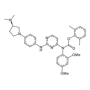 COc1ccc(N(C(=O)Oc2c(C)cccc2C)c2ccnc(Nc3ccc(N4CC[C@@H](N(C)C)C4)cc3)n2)c(OC)c1